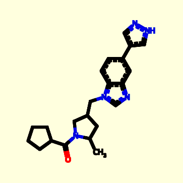 CC1CC(Cn2cnc3cc(-c4cn[nH]c4)ccc32)CN1C(=O)C1CCCC1